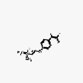 C[Si](C)(C)CCOc1ccc(C(F)=C(F)F)cc1